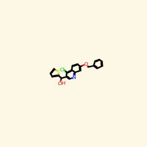 OC(c1cccs1)c1cnc2cc(OCc3ccccc3)ccc2c1Cl